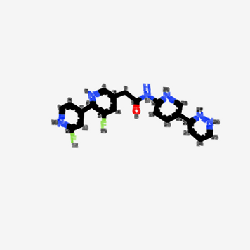 O=C(Cc1cnc(-c2ccnc(F)c2)c(F)c1)Nc1ccc(-c2cccnn2)cn1